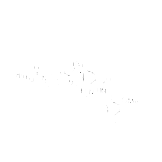 COc1cc(C)ccc1CNC(=O)c1ccnc(CN(CC2CCN(C(=O)OC(C)(C)C)CC2)C(=O)OC(C)(C)C)c1N